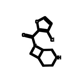 O=C(c1occc1Cl)N1CC2CCNCC21